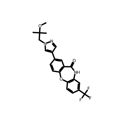 COC(C)(C)Cn1cc(-c2ccc3c(c2)C(=O)Nc2cc(C(F)(F)F)ccc2O3)cn1